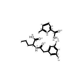 CCCC(NC(=O)Cc1cc(F)cc(F)c1)C(=O)O.Cc1cccc(C(N)=O)n1